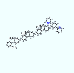 Cc1ccccc1-c1ccc(-c2ccc(-c3ccc(-c4ccc(-c5ccc(-c6cc(-c7ccccn7)ccc6-c6ccccn6)cc5C)c(C)c4)cc3C)c(C)c2)cc1C